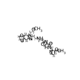 COCCn1c(CCNCCc2nc(C(=O)NCc3ncccc3OC)co2)nc2cc3c(cc21)OCCO3